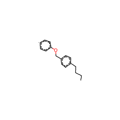 CCCCc1ccc(COc2cc[c]cc2)cc1